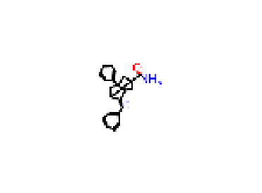 NC(=O)C12CC3/C(=C/c4ccccc4)C1CC3(c1ccccc1)C2